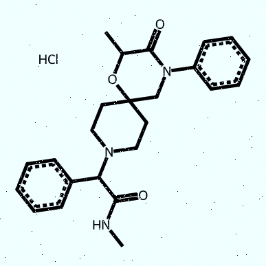 CNC(=O)C(c1ccccc1)N1CCC2(CC1)CN(c1ccccc1)C(=O)C(C)O2.Cl